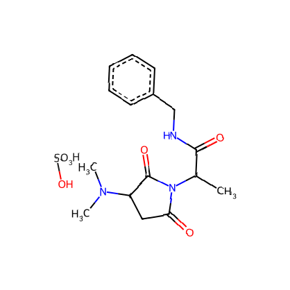 CC(C(=O)NCc1ccccc1)N1C(=O)CC(N(C)C)C1=O.O=S(=O)(O)O